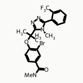 CNC(=O)c1ccc(OC(C)(C)c2nnc(-c3ccccc3C(F)(F)F)n2C)c(Br)c1